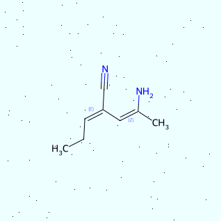 CC/C=C(C#N)\C=C(\C)N